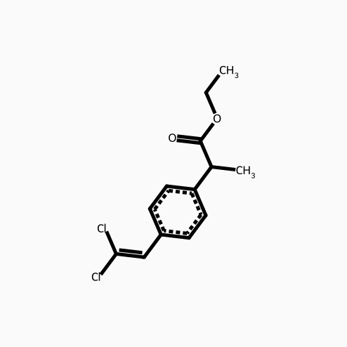 CCOC(=O)C(C)c1ccc(C=C(Cl)Cl)cc1